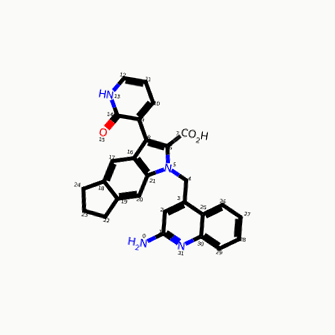 Nc1cc(Cn2c(C(=O)O)c(-c3ccc[nH]c3=O)c3cc4c(cc32)CCC4)c2ccccc2n1